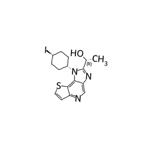 C[C@@H](O)c1nc2cnc3ccsc3c2n1[C@H]1CC[C@H](I)CC1